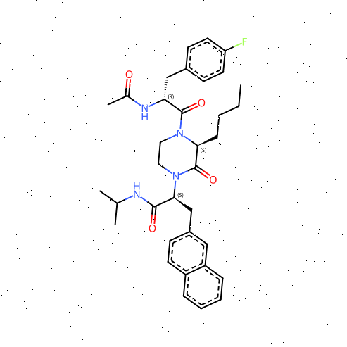 CCCC[C@H]1C(=O)N([C@@H](Cc2ccc3ccccc3c2)C(=O)NC(C)C)CCN1C(=O)[C@@H](Cc1ccc(F)cc1)NC(C)=O